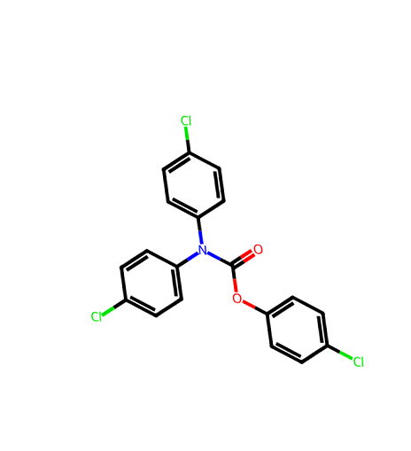 O=C(Oc1ccc(Cl)cc1)N(c1ccc(Cl)cc1)c1ccc(Cl)cc1